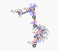 CCC(C)C1CC(=O)N(CCCCCC(=O)N[C@H](C(=O)N[C@@H](CCCNC(N)=O)C(=O)Nc2ccc(COC(=O)Nc3cccc(CN(C)[C@H](C(=O)N[C@H](C(=O)N(C)[C@@H]([C@@H](C)CC)[C@@H](CC(=O)N4CCC[C@H]4[C@H](OC)[C@@H](C)C(=O)N[C@@H](Cc4ccccc4)C(=O)OC)OC)C(C)C)C(C)C)c3)cc2)C(C)C)C1=O